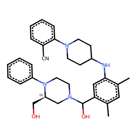 Cc1cc(C)c(C(O)N2CCN(c3ccccc3)[C@H](CO)C2)cc1NC1CCN(c2ccccc2C#N)CC1